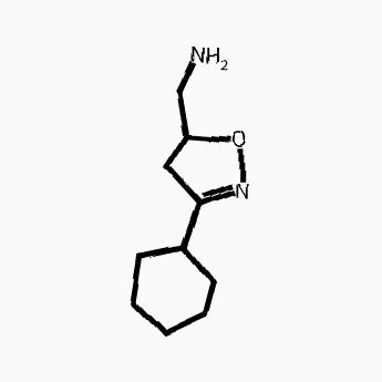 NCC1CC(C2CCCCC2)=NO1